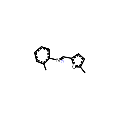 Cc1ccc(/C=N/c2ccccc2C)o1